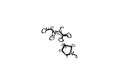 C[C@@H](C(=O)O[C@H]1CCN(C)C1)N(Cl)CCl